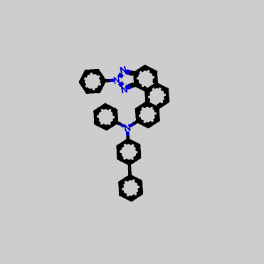 c1ccc(-c2ccc(N(c3ccccc3)c3ccc4ccc5ccc6nn(-c7ccccc7)nc6c5c4c3)cc2)cc1